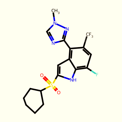 Cn1cnc(-c2c(C(F)(F)F)cc(F)c3[nH]c(S(=O)(=O)C4CCCCC4)cc23)n1